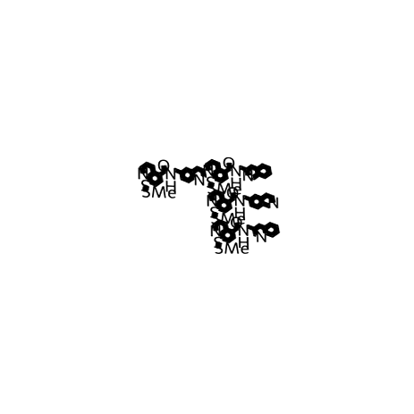 CSSc1ccc(C(=O)NCc2cc3ccccc3cn2)c2cccnc12.CSSc1ccc(C(=O)NCc2ccc3cnccc3c2)c2cccnc12.CSSc1ccc(C(=O)NCc2ccc3ncccc3c2)c2cccnc12.CSSc1ccc(C(=O)NCc2cnc3ccccc3c2)c2cccnc12